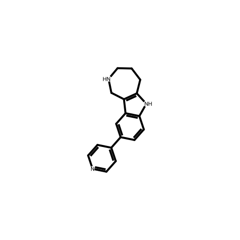 c1cc(-c2ccc3[nH]c4c(c3c2)CNCCC4)ccn1